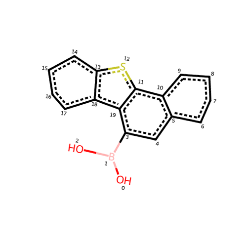 OB(O)c1cc2ccccc2c2sc3ccccc3c12